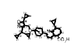 O=C(O)c1ccc(C2CC2)c2nc(C34CCC(OCc5c(C(C6CC6)C6CC6)noc5C5CC5)(CC3)CC4)ccc12